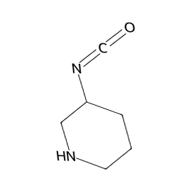 O=C=NC1CCCNC1